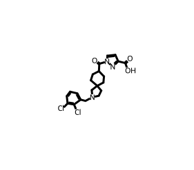 O=C(O)c1ccn(C(=O)C2CCC3(CC2)CCN(Cc2cccc(Cl)c2Cl)C3)n1